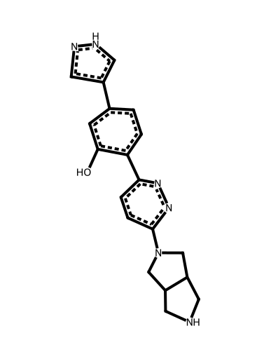 Oc1cc(-c2cn[nH]c2)ccc1-c1ccc(N2CC3CNCC3C2)nn1